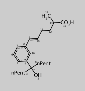 CCCCCC(O)(CCCCC)c1cccc(C=CCCC(C)C(=O)O)c1